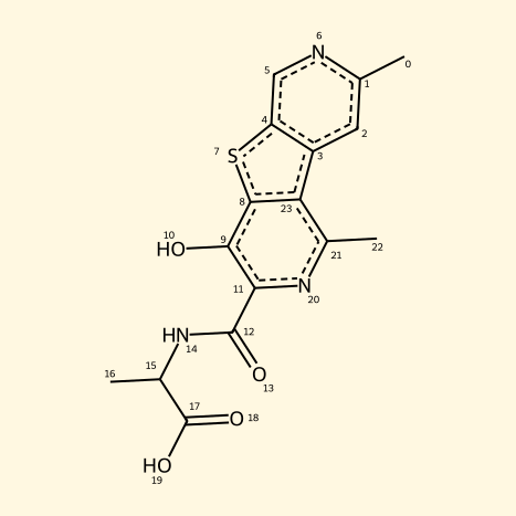 Cc1cc2c(cn1)sc1c(O)c(C(=O)NC(C)C(=O)O)nc(C)c12